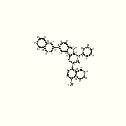 Brc1ccc(-c2nc(-c3ccccc3)c3sc4ccc(-c5ccc6ccccc6c5)cc4c3n2)c2ccccc12